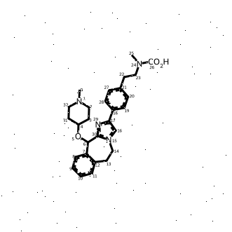 CN1CCC(OC2c3ccccc3CCn3cc(-c4ccc(CCN(C)C(=O)O)cc4)nc32)CC1